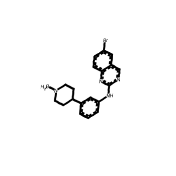 BN1CCC(c2cccc(Nc3ncc4cc(Br)ccc4n3)c2)CC1